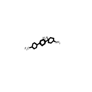 NC1CCC(N)(c2ccc(C3CCC(C(F)(F)F)CC3)cc2)CC1